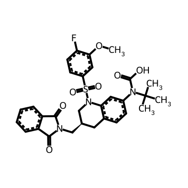 COc1cc(S(=O)(=O)N2C[C@H](CN3C(=O)c4ccccc4C3=O)Cc3ccc(N(C(=O)O)C(C)(C)C)cc32)ccc1F